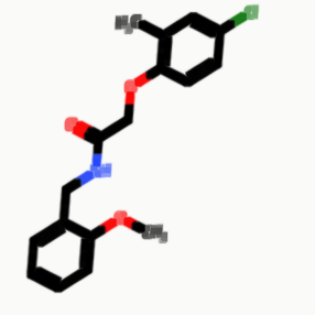 COc1ccccc1CNC(=O)COc1ccc(Cl)cc1C